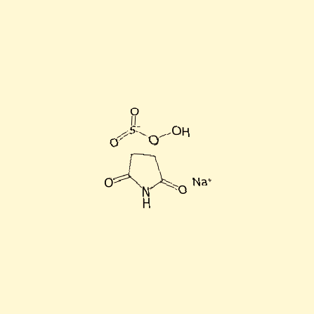 O=C1CCC(=O)N1.O=[S-](=O)OO.[Na+]